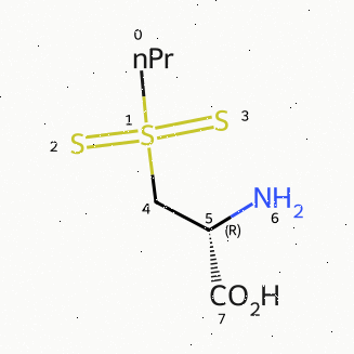 CCCS(=S)(=S)C[C@H](N)C(=O)O